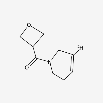 [2H]C1=CCCN(C(=O)C2COC2)C1